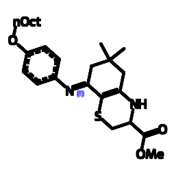 CCCCCCCCOc1ccc(/N=C2\CC(C)(C)CC3=C2SCC(C(=O)OC)N3)cc1